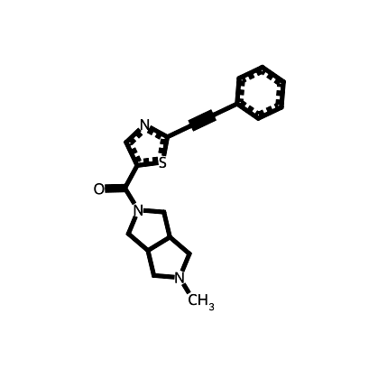 CN1CC2CN(C(=O)c3cnc(C#Cc4ccccc4)s3)CC2C1